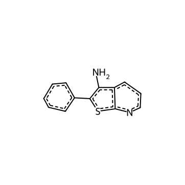 Nc1c(-c2ccccc2)sc2ncccc12